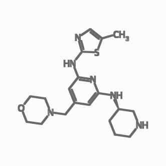 Cc1cnc(Nc2cc(CN3CCOCC3)cc(N[C@@H]3CCCNC3)n2)s1